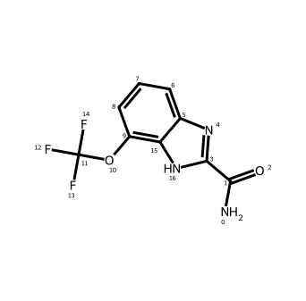 NC(=O)c1nc2cccc(OC(F)(F)F)c2[nH]1